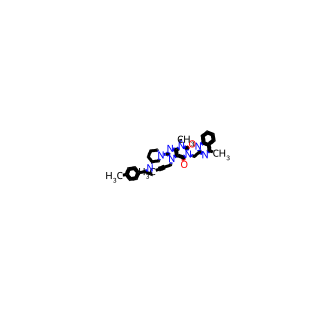 CC#CCn1c(N2CCC[C@@H](N3CC3c3ccc(C)cc3)C2)nc2c1c(=O)n(Cc1nc(C)c3ccccc3n1)c(=O)n2C